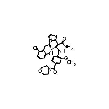 COc1cc(C(=O)N2CCOCC2)ccc1Nc1nc(Cc2c(Cl)cccc2Cl)n2ccnc2c1C(N)=O